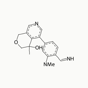 CNc1cc(-c2cncc3c2C(C)(O)COC3)ccc1C=N